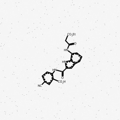 CCOC(=O)CC(=O)Nc1cccc2cc(C(=O)Nc3ccc(C#N)cc3C(=O)O)[nH]c12